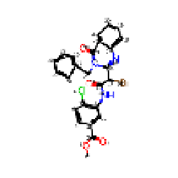 COC(=O)c1ccc(Cl)c(NC(=O)C(Br)c2nc3ccccc3c(=O)n2Cc2ccccc2)c1